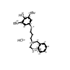 CC(C)(C)c1cc(SCCCN(CC(=O)O)Cc2ccccc2)cc(C(C)(C)C)c1O.Cl